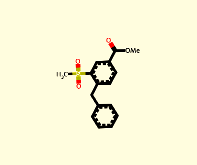 COC(=O)c1ccc(Cc2ccccc2)c(S(C)(=O)=O)c1